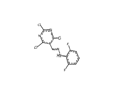 Fc1cccc(F)c1NN=Cc1c(Cl)nc(Cl)nc1Cl